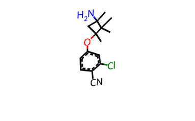 CC1(N)CC(C)(Oc2ccc(C#N)c(Cl)c2)C1(C)C